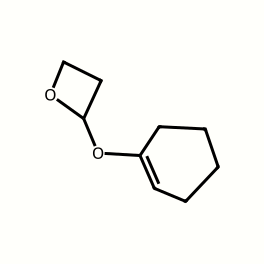 C1=C(OC2CCO2)CCCC1